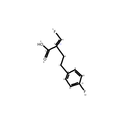 O=C(O)/C(=C\F)CCc1ccc(F)cc1